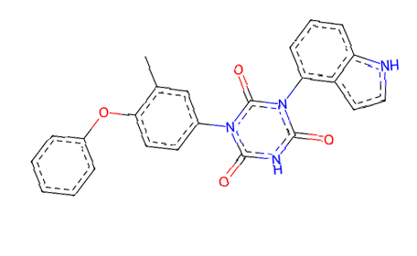 Cc1cc(-n2c(=O)[nH]c(=O)n(-c3cccc4[nH]ccc34)c2=O)ccc1Oc1ccccc1